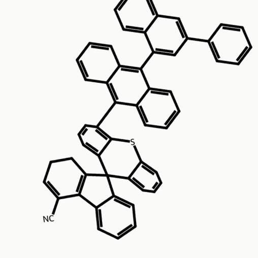 N#CC1=CCCC2=C1c1ccccc1C21c2ccccc2Sc2c(-c3c4ccccc4c(-c4cc(-c5ccccc5)cc5ccccc45)c4ccccc34)cccc21